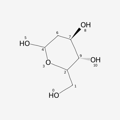 OCC1OC(O)C[C@@H](O)[C@@H]1O